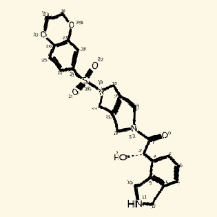 O=C([C@@H](O)c1cccc2c1CNC2)N1CC2=C(C1)CN(S(=O)(=O)c1ccc3c(c1)OCCO3)C2